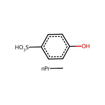 CCCC.O=S(=O)(O)c1ccc(O)cc1